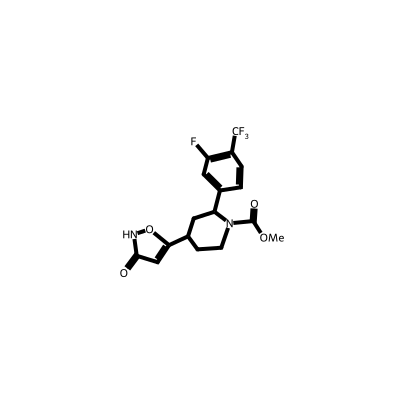 COC(=O)N1CCC(c2cc(=O)[nH]o2)CC1c1ccc(C(F)(F)F)c(F)c1